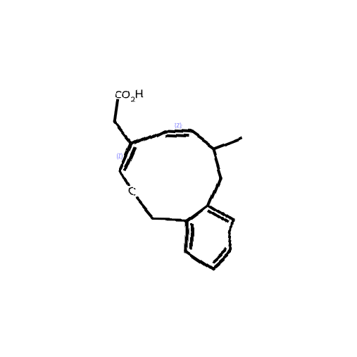 CC1/C=C\C(CC(=O)O)=C/CCc2ccccc2C1